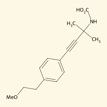 COCCc1ccc(C#CC(C)(C)NC(=O)O)cc1